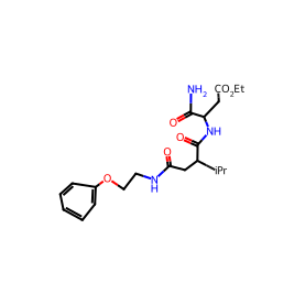 CCOC(=O)CC(NC(=O)C(CC(=O)NCCOc1ccccc1)C(C)C)C(N)=O